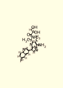 Cc1c(C(C)NC(=O)C(O)CO)nc2c(-c3cnc4ccc(F)cc4c3)cnn2c1N